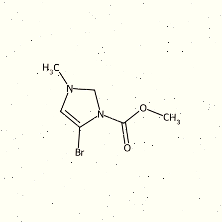 COC(=O)N1CN(C)C=C1Br